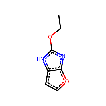 CCOc1nc2occc2[nH]1